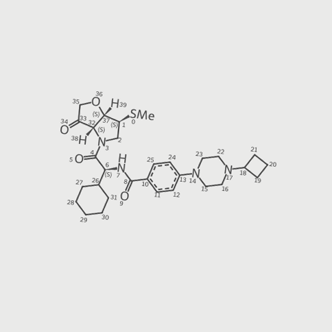 CS[C@H]1CN(C(=O)[C@@H](NC(=O)c2ccc(N3CCN(C4CCC4)CC3)cc2)C2CCCCC2)[C@@H]2C(=O)CO[C@H]12